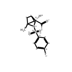 CC12CC(C1)[C@@H](C(=O)I)N2S(=O)(=O)c1ccc(F)cc1